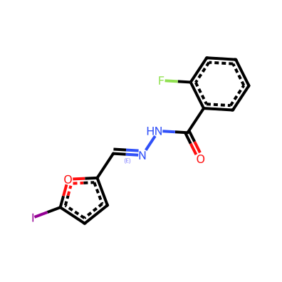 O=C(N/N=C/c1ccc(I)o1)c1ccccc1F